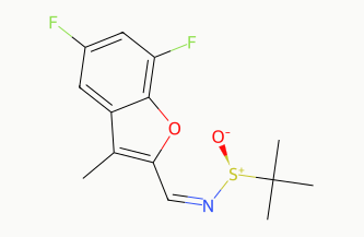 Cc1c(/C=N\[S@@+]([O-])C(C)(C)C)oc2c(F)cc(F)cc12